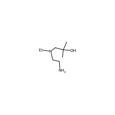 CCN(CCN)CC(C)(C)O